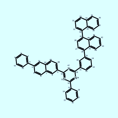 c1ccc(-c2ccc3cc(-c4nc(-c5ccccc5)nc(-c5cccc(-c6ccc(-c7cccc8ccccc78)c7ccccc67)c5)n4)ccc3c2)cc1